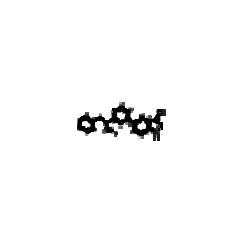 NC(Cc1ccccc1)c1cc(-c2ccc3[nH]nc(O)c3c2)ccn1